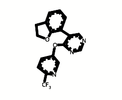 FC(F)(F)c1ccc(Oc2ncncc2-c2cccc3c2OCC3)cn1